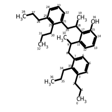 CCCc1cccc(CC(C)c2cccc(O)c2C(C)Cc2cccc(CCC)c2CCC)c1CCC